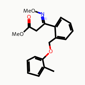 CO/N=C(\CC(=O)OC)c1ccccc1COc1ccccc1C